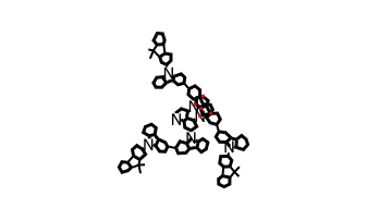 CC1(C)c2ccccc2-c2ccc(-n3c4ccccc4c4cc(-c5ccc6c7ccccc7n(-c7cc(-n8c9ccccc9c9ccc(-c%10ccc%11c(c%10)c%10ccccc%10n%11-c%10ccc%11c(c%10)C(C)(C)c%10ccccc%10-%11)cc98)c8c(-n9c%10ccccc%10c%10ccc(-c%11ccc%12c(c%11)c%11ccccc%11n%12-c%11ccc%12c(c%11)C(C)(C)c%11ccccc%11-%12)cc%109)ccnc8c7)c6c5)ccc43)cc21